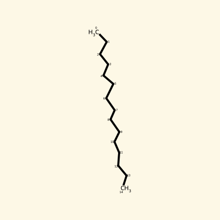 C[CH]CCCCCCCCCCCCC